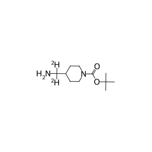 [2H]C([2H])(N)C1CCN(C(=O)OC(C)(C)C)CC1